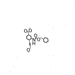 COCC#Cc1ccc(C(=O)OC)cc1NC(=O)OCc1ccccc1